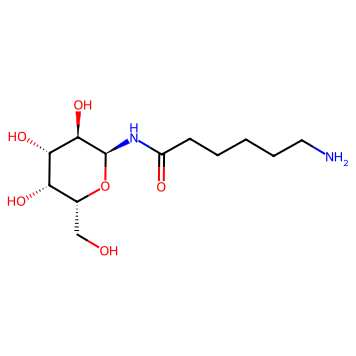 NCCCCCC(=O)N[C@H]1O[C@H](CO)[C@H](O)[C@H](O)[C@H]1O